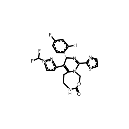 O=C1NCCC2=C(c3ccn(C(F)F)n3)[C@H](c3ccc(F)cc3Cl)N=C(c3nccs3)N2CO1